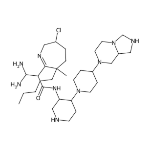 CCCCCC1(C)CCC(Cl)CN=C1C(C(=O)NC1CNCCC1N1CCC(N2CCN3CNCC3C2)CC1)C(N)N